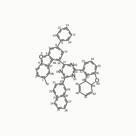 Cc1ccc2oc3cc(-c4ccccc4)cc(-c4nc(-c5ccc6ccccc6c5)nc(-c5cccc6c5C5C=CC=CC5O6)n4)c3c2c1